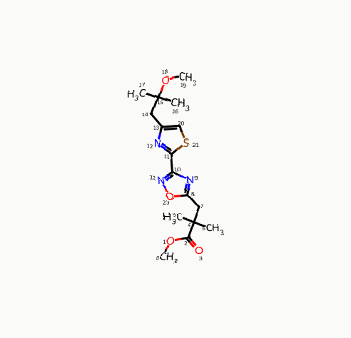 COC(=O)C(C)(C)Cc1nc(-c2nc(CC(C)(C)OC)cs2)no1